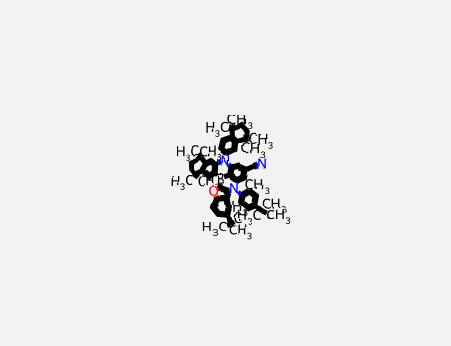 Cc1cc(C(C)(C)C)ccc1N1c2cc(C#N)cc3c2B(c2cc4c(cc2N3c2ccc3c(c2)C(C)(C)CCC3(C)C)C(C)(C)CCC4(C)C)c2oc3ccc(C(C)(C)C)cc3c21